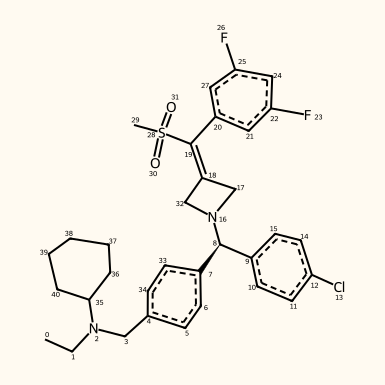 CCN(Cc1ccc([C@H](c2ccc(Cl)cc2)N2CC(=C(c3cc(F)cc(F)c3)S(C)(=O)=O)C2)cc1)C1CCCCC1